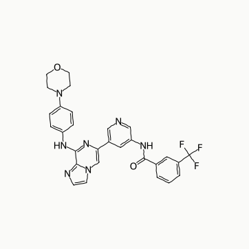 O=C(Nc1cncc(-c2cn3ccnc3c(Nc3ccc(N4CCOCC4)cc3)n2)c1)c1cccc(C(F)(F)F)c1